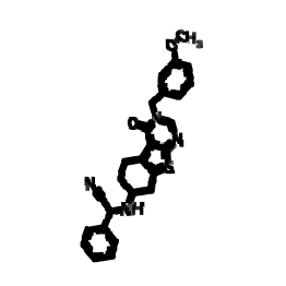 COc1cccc(Cn2cnc3sc4c(c3c2=O)CCC(NC(C#N)c2ccccc2)C4)c1